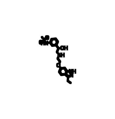 CCc1n[nH]c2cc(OCCNCC(O)c3cccc(NS(C)(=O)=O)c3)ccc12